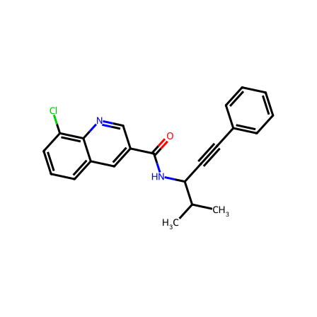 CC(C)C(C#Cc1ccccc1)NC(=O)c1cnc2c(Cl)cccc2c1